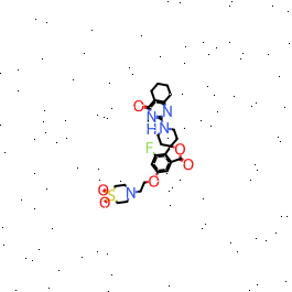 O=C1OC2(CCN(c3nc4c(c(=O)[nH]3)CCCC4)CC2)c2c(F)cc(OCCN3CCS(=O)(=O)CC3)cc21